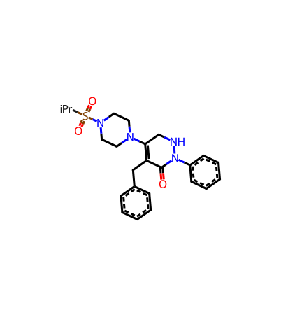 CC(C)S(=O)(=O)N1CCN(C2=C(Cc3ccccc3)C(=O)N(c3ccccc3)NC2)CC1